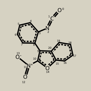 O=C=Nc1ccccc1-c1c([N+](=O)[O-])oc2ccccc12